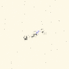 CC[Si](CC)(CC)OC(C)(C)CCC[C@@H](C)[C@H]1CC[C@H]2/C(=C/C=C3/C[C@@H](C)C[C@@H](O)C3)CCC[C@]12C